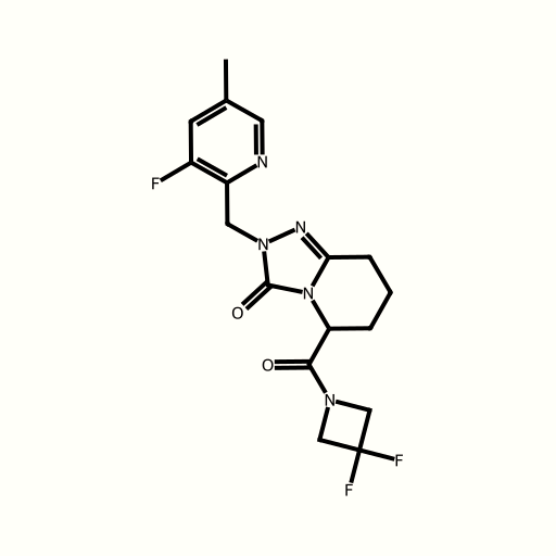 Cc1cnc(Cn2nc3n(c2=O)C(C(=O)N2CC(F)(F)C2)CCC3)c(F)c1